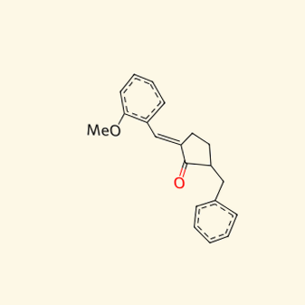 COc1ccccc1/C=C1\CCC(Cc2ccccc2)C1=O